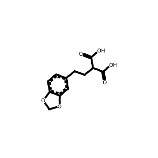 O=C(O)C(CCc1ccc2c(c1)OCO2)C(=O)O